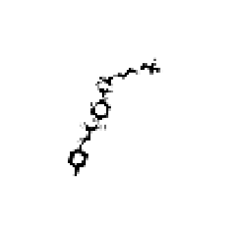 Cc1ccc(OCC(=O)N[C@H]2CC[C@H](c3nnc(OCCOCC(F)(F)F)o3)OC2)cc1